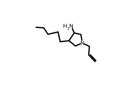 C=CCN1CC(N)C(CCCCC)C1